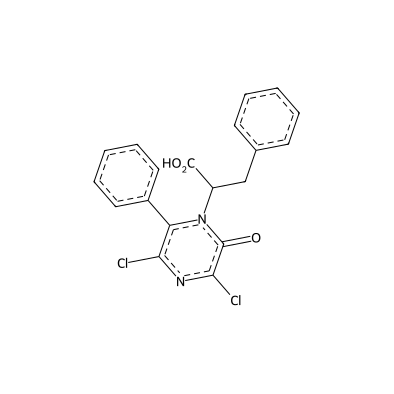 O=C(O)C(Cc1ccccc1)n1c(-c2ccccc2)c(Cl)nc(Cl)c1=O